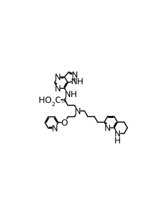 O=C(O)[C@H](CCN(CCCCc1ccc2c(n1)NCCC2)CCOc1ccccn1)Nc1ncnc2cn[nH]c12